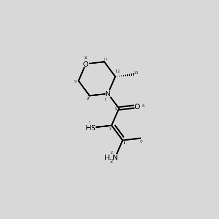 C/C(N)=C(/S)C(=O)N1CCOC[C@@H]1C